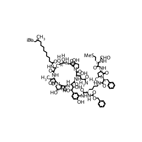 CC[C@H](C)C[C@H](C)CCCCCCCCC(=O)N[C@H]1C[C@@H](O)[C@@H](O)NC(=O)[C@@H]2[C@@H](O)CCN2C(=O)[C@H]([C@H](O)CC(N)=O)NC(=O)[C@H]([C@H](O)[C@@H](O)c2ccc(O)c(NC(=O)[C@H](CCCCNC(=O)[C@H](Cc3ccccc3)N3C(=O)[C@@H](NC(=O)[C@H](CCSC)NC=O)CC3C)NC(=O)OCc3ccccc3)c2)NC(=O)[C@@H]2C[C@@H](O)CN2C(=O)[C@H]([C@@H](C)O)NC1=O